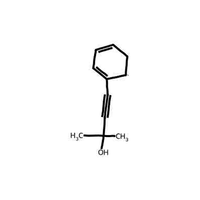 CC(C)(O)C#CC1=CC=CC[CH]1